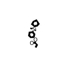 C=CC(=O)Oc1cccc([Si](C)(C)c2ccccc2)c1